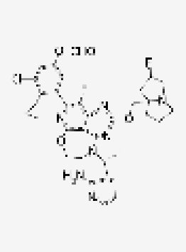 C[C@H](c1cccnc1N)N1CCOc2nc(-c3cc(OC=O)cc(Cl)c3C3CC3)c(F)c3nc(OC[C@@]45CCCN4C[C@H](F)C5)nc1c23